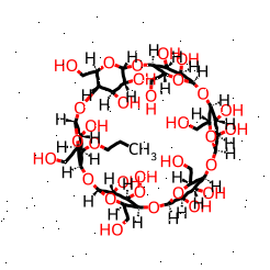 CCCO[C@@H]1[C@@H](O)[C@H]2O[C@H]3[C@H](O)[C@@H](O)[C@@H](O[C@H]4[C@H](O)[C@@H](O)[C@@H](O[C@H]5[C@H](O)[C@@H](O)[C@@H](O[C@H]6[C@H](O)[C@@H](O)[C@@H](O[C@@H]7[C@H](OO)[C@@H](O)[C@@H](O[C@H]1[C@@H](CO)O2)O[C@@H]7CO)O[C@@H]6CO)O[C@@H]5CO)O[C@@H]4CO)O[C@@H]3CO